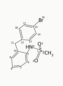 CS(=O)(=O)Nc1ccccc1Cc1ccc(Br)cc1